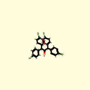 O=C(C(c1ccc(F)cc1)c1ccc(F)cc1)C(c1ccc(F)cc1)c1ccc(F)cc1